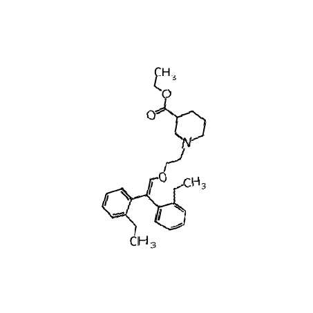 CCOC(=O)C1CCCN(CCOC=C(c2ccccc2CC)c2ccccc2CC)C1